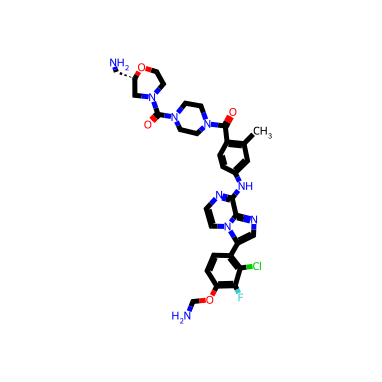 Cc1cc(Nc2nccn3c(-c4ccc(OCN)c(F)c4Cl)cnc23)ccc1C(=O)N1CCN(C(=O)N2CCO[C@@H](CN)C2)CC1